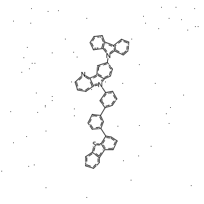 c1cc(-c2cccc(-n3c4ccc(-n5c6ccccc6c6ccccc65)cc4c4ncccc43)c2)cc(-c2cccc3c2sc2ccccc23)c1